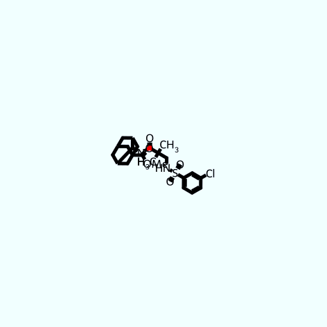 COC(=O)C12CC3CC(C1)C(NC(=O)C(C)(C)CNS(=O)(=O)c1cccc(Cl)c1)C(C3)C2